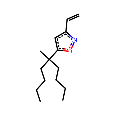 C=Cc1cc(C(C)(CCCC)CCCC)on1